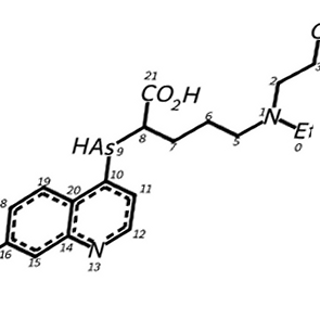 CCN(CCO)CCCC([AsH]c1ccnc2cc(O)ccc12)C(=O)O